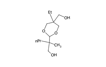 CCCC(C)(CO)C1OCC(CC)(CO)CO1